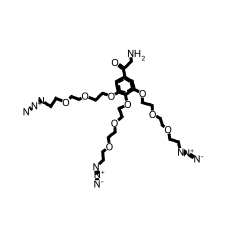 [N-]=[N+]=NCCOCCOCCOc1cc(C(=O)CN)cc(OCCOCCOCCN=[N+]=[N-])c1OCCOCCOCCN=[N+]=[N-]